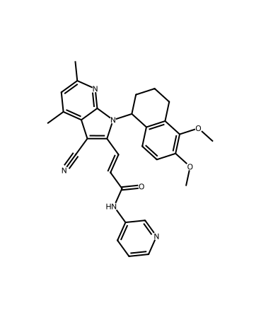 COc1ccc2c(c1OC)CCCC2n1c(C=CC(=O)Nc2cccnc2)c(C#N)c2c(C)cc(C)nc21